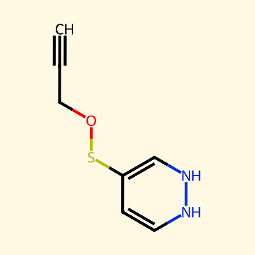 C#CCOSC1=CNNC=C1